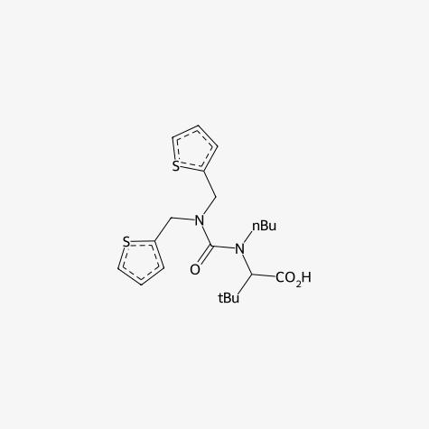 CCCCN(C(=O)N(Cc1cccs1)Cc1cccs1)C(C(=O)O)C(C)(C)C